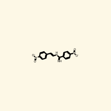 N=C(NC=Cc1ccc([N+](=O)[O-])cc1)c1ccc([N+](=O)[O-])cc1